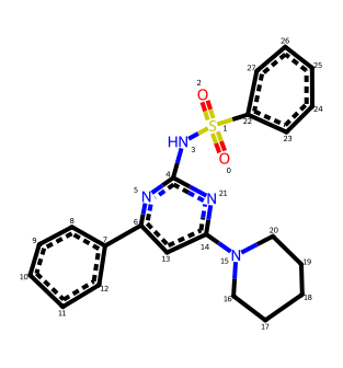 O=S(=O)(Nc1nc(-c2ccccc2)cc(N2CCCCC2)n1)c1ccccc1